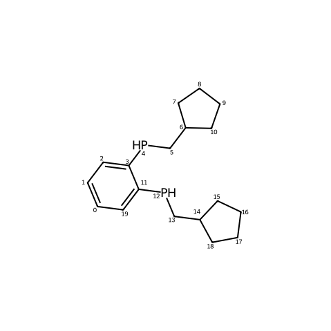 c1ccc(PCC2CCCC2)c(PCC2CCCC2)c1